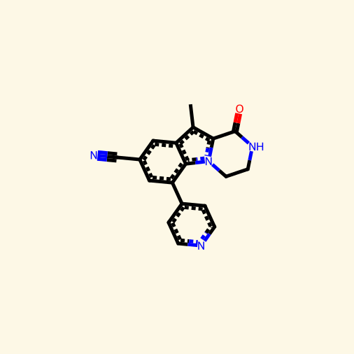 Cc1c2n(c3c(-c4ccncc4)cc(C#N)cc13)CCNC2=O